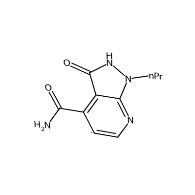 CCCn1[nH]c(=O)c2c(C(N)=O)[c]cnc21